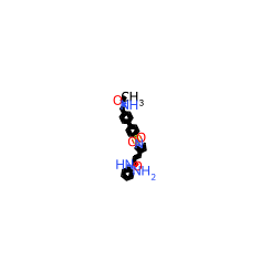 CC(=O)NCc1ccc(-c2ccc(S(=O)(=O)n3ccc(C=CC(=O)Nc4ccccc4N)c3)cc2)cc1